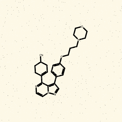 N#CC1CC=C(c2nccn3ncc(-c4ccc(OCCCN5CCOCC5)cc4)c23)CC1